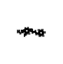 Nc1ccc(OCCCc2ccccc2)cc1F